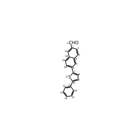 O=Cc1ccc2cc(-c3ccc(-c4ccccc4)s3)ccc2c1